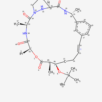 CC(C)[C@@H]1OC(=O)[C@H](C)[C@H](O[Si](C)(C)C(C)(C)C)CC/C=C/c2cccc(c2)[C@@H](C)NC(=O)[C@@H]2CCCN(N2)C(=O)[C@H](C)NC1=O